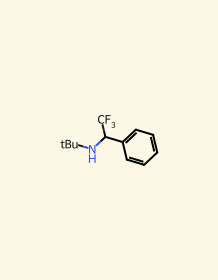 CC(C)(C)NC(c1ccccc1)C(F)(F)F